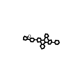 c1ccc(-c2ccc3c(c2)c2ccccc2c2c4ccc(-c5ccc6c(c5)oc5ccccc56)cc4c4ccccc4c32)cc1